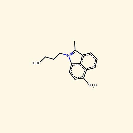 CC1=[N+](CCCC(=O)[O-])c2ccc(S(=O)(=O)O)c3cccc1c23